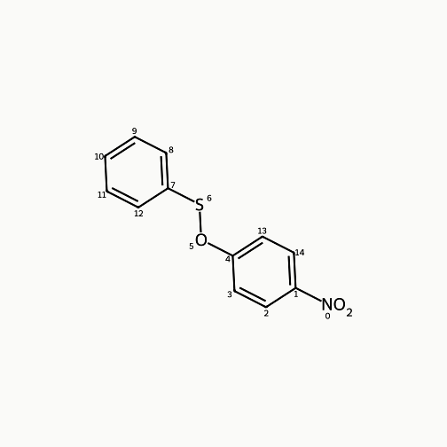 O=[N+]([O-])c1ccc(OSc2ccccc2)cc1